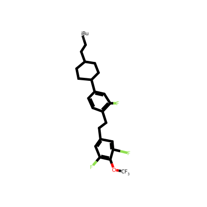 CCC(C)CCC1CCC(c2ccc(CCc3cc(F)c(OC(F)(F)F)c(F)c3)c(F)c2)CC1